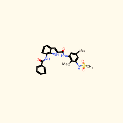 COc1c(NC(=O)c2cc3cccc(NC(=O)c4ccccc4)c3[nH]2)cc(C(C)(C)C)cc1NS(C)(=O)=O